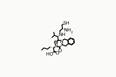 CCCC[C@H](NC(=O)[C@@H]1Cc2ccccc2CN1C(=O)[C@@H](NC[C@@H](N)CS)C(C)C)C(=O)O